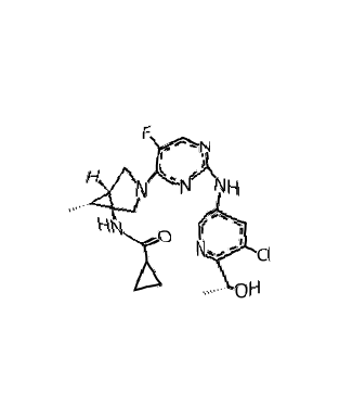 C[C@@H]1[C@@H]2CN(c3nc(Nc4cnc([C@@H](C)O)c(Cl)c4)ncc3F)C[C@]12NC(=O)C1CC1